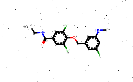 CC(C)Nc1cc(F)cc(COc2c(Br)cc(C(=O)NCC(=O)O)cc2Br)c1